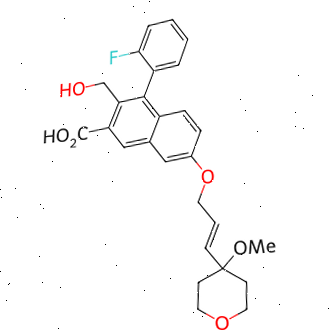 COC1(/C=C/COc2ccc3c(-c4ccccc4F)c(CO)c(C(=O)O)cc3c2)CCOCC1